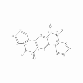 CN(C(=O)c1ccc(C(=O)N(C)c2ccccc2)cc1)c1ccccc1